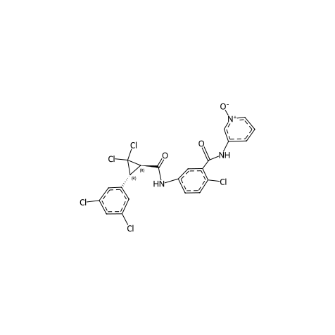 O=C(Nc1ccc[n+]([O-])c1)c1cc(NC(=O)[C@H]2[C@H](c3cc(Cl)cc(Cl)c3)C2(Cl)Cl)ccc1Cl